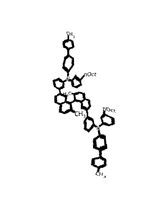 CCCCCCCCc1cccc(N(c2ccc(-c3ccc(C)cc3)cc2)c2cccc(-c3ccc4ccc(C)c(-c5c(C)ccc6ccc(-c7cccc(N(c8ccc(-c9ccc(C)cc9)cc8)c8cccc(CCCCCCCC)c8)c7)cc56)c4c3)c2)c1